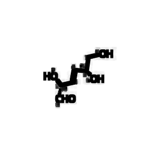 O=C[C@H](O)C=C[C@H](O)CO